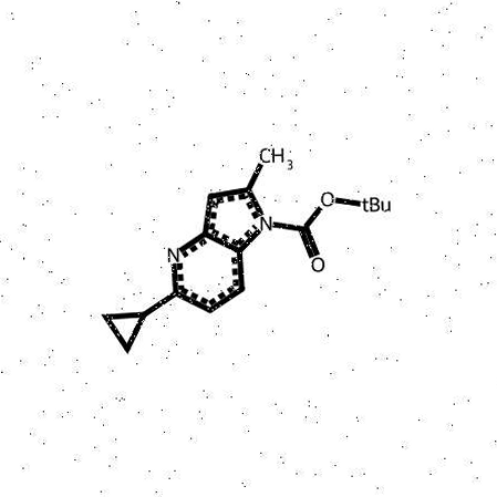 Cc1cc2nc(C3CC3)ccc2n1C(=O)OC(C)(C)C